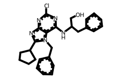 OCC(Cc1ccccc1)Nc1nc(Cl)nc2nc(C3CCCC3)n(Cc3ccccc3)c12